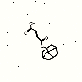 O=C(O)/C=C/C(=O)OC12CC3CC(CC(C3)C1)C2